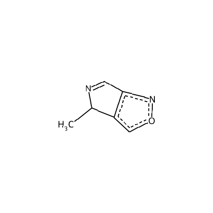 CC1N=Cc2nocc21